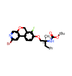 CC(C)C[C@@](C)(COc1ccc2c(c1F)COc1cnc(Br)cc1-2)NC(=O)OC(C)(C)C